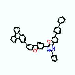 C1=CC2Oc3cc(-c4nc(-c5ccccc5)nc5c4oc4cc(-c6ccc(-c7ccccc7)cc6)ccc45)ccc3C2C=C1c1ccc2c3ccccc3c3ccccc3c2c1